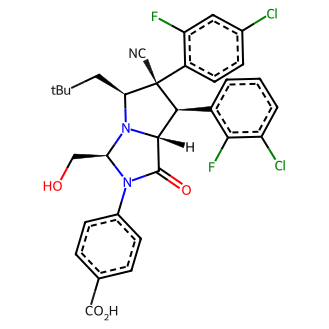 CC(C)(C)C[C@@H]1N2[C@H](CO)N(c3ccc(C(=O)O)cc3)C(=O)[C@H]2[C@H](c2cccc(Cl)c2F)[C@@]1(C#N)c1ccc(Cl)cc1F